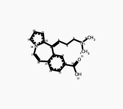 CN(C)CCC=C1c2cc(C(=O)O)ccc2C=Cn2cccc21